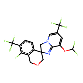 Fc1c(C(F)(F)F)ccc2c1COCC21CN2C=C(C(F)(F)F)C=C(OC(F)F)C2=N1